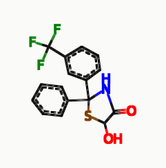 O=C1NC(c2ccccc2)(c2cccc(C(F)(F)F)c2)SC1O